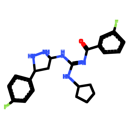 O=C(/N=C(/NC1CCCC1)NC1CC(c2ccc(F)cc2)NN1)c1cccc(F)c1